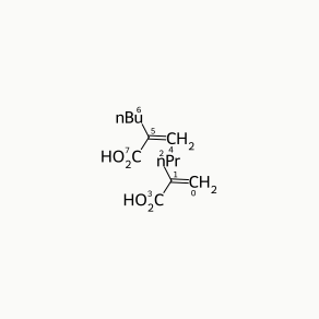 C=C(CCC)C(=O)O.C=C(CCCC)C(=O)O